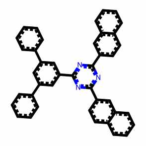 c1ccc(-c2cc(-c3ccccc3)cc(-c3nc(-c4ccc5ccccc5c4)nc(-c4ccc5ccccc5c4)n3)c2)cc1